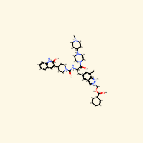 Cc1cc(C[C@@H](NC(=O)N2CCC(c3cc4ccccc4[nH]c3=O)CC2)C(=O)N2CCN(C3CCN(C)CC3)CC2)cc2cn(COC(=O)C3CCCCC3)nc12